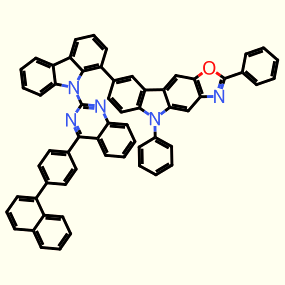 c1ccc(-c2nc3cc4c(cc3o2)c2cc(-c3cccc5c6ccccc6n(-c6nc(-c7ccc(-c8cccc9ccccc89)cc7)c7ccccc7n6)c35)ccc2n4-c2ccccc2)cc1